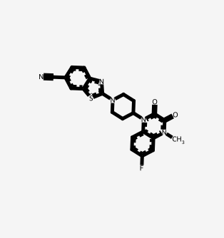 Cn1c(=O)c(=O)n(C2CCN(c3nc4ccc(C#N)cc4s3)CC2)c2ccc(F)cc21